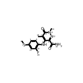 CSc1ccc(Nc2c(C(N)=O)nn(C)c(=O)c2C)c(F)c1